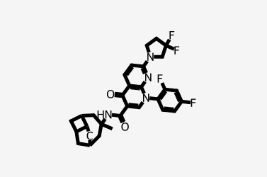 CC1(NC(=O)c2cn(-c3ccc(F)cc3F)c3nc(N4CCC(F)(F)C4)ccc3c2=O)CC2CC3CC(C1)C3C2